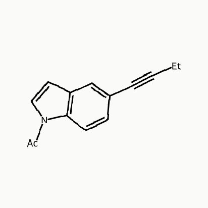 CCC#Cc1ccc2c(ccn2C(C)=O)c1